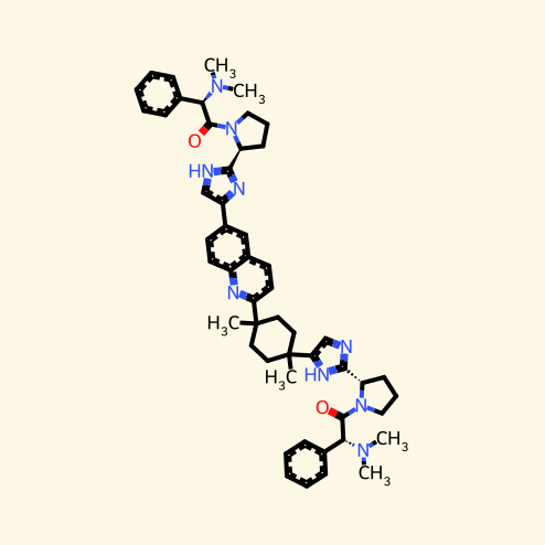 CN(C)[C@@H](C(=O)N1CCC[C@H]1c1nc(-c2ccc3nc(C4(C)CCC(C)(c5cnc([C@@H]6CCCN6C(=O)[C@@H](c6ccccc6)N(C)C)[nH]5)CC4)ccc3c2)c[nH]1)c1ccccc1